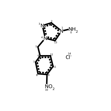 Nn1cn[n+](Cc2ccc([N+](=O)[O-])cc2)c1.[Cl-]